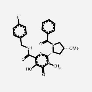 CO[C@@H]1C[C@H](c2nc(C(=O)NCc3ccc(F)cc3)c(O)c(=O)n2C)N(C(=O)c2ccccc2)C1